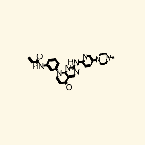 C=CC(=O)Nc1cccc(-n2ccc(=O)c3cnc(Nc4ccc(N5CCN(C)CC5)cn4)nc32)c1